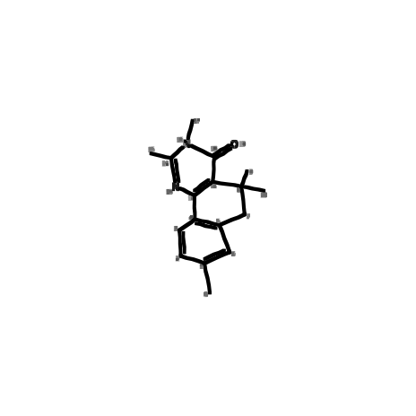 Cc1ccc2c(c1)CC(C)(C)c1c-2nc(C)n(C)c1=O